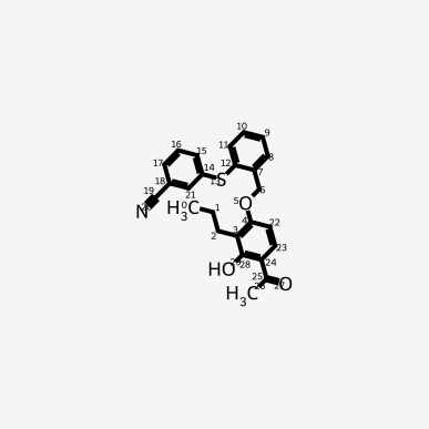 CCCc1c(OCc2ccccc2Sc2cccc(C#N)c2)ccc(C(C)=O)c1O